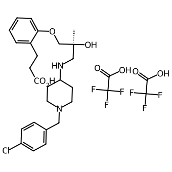 C[C@](O)(CNC1CCN(Cc2ccc(Cl)cc2)CC1)COc1ccccc1CCC(=O)O.O=C(O)C(F)(F)F.O=C(O)C(F)(F)F